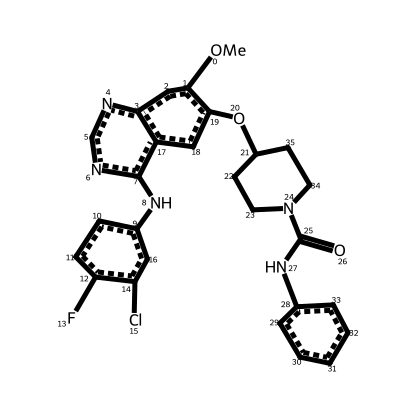 COc1cc2ncnc(Nc3ccc(F)c(Cl)c3)c2cc1OC1CCN(C(=O)Nc2ccccc2)CC1